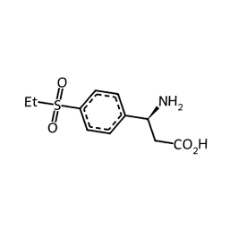 CCS(=O)(=O)c1ccc([C@@H](N)CC(=O)O)cc1